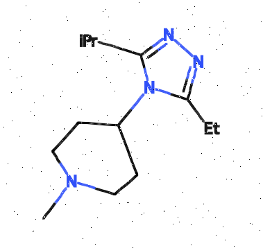 CCc1nnc(C(C)C)n1C1CCN(C)CC1